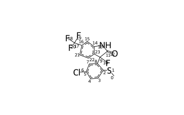 CSc1ccc(Cl)cc1C1(F)C(=O)Nc2cc(C(F)(F)F)ccc21